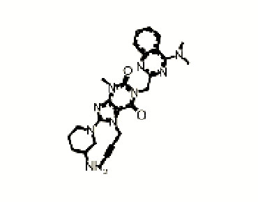 CC#CCn1c(N2CCCC(N)C2)nc2c1c(=O)n(Cc1nc(N(C)C)c3ccccc3n1)c(=O)n2C